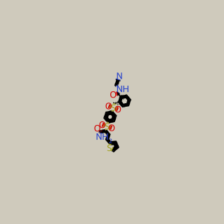 N#CCNC(=O)[C@H]1CCCC[C@@H]1CS(=O)(=O)c1ccc(S(=O)(=O)C(CCc2cccs2)C(N)=O)cc1